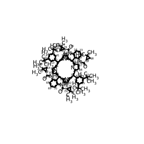 CC(C)(C)c1cc(-c2c3nc(c(-c4c(NC(=O)[C@H]5CC5(C)C)cccc4NC(=O)[C@H]4CC4(C)C)c4ccc([nH]4)c(-c4cc(C(C)(C)C)cc(C(C)(C)C)c4)c4nc(c(-c5c(NC(=O)[C@H]6CC6(C)C)cccc5NC(=O)[C@H]5CC5(C)C)c5ccc2[nH]5)C=C4)C=C3)cc(C(C)(C)C)c1